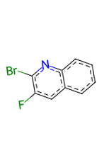 Fc1cc2ccccc2nc1Br